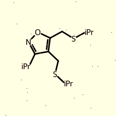 CC(C)SCc1onc(C(C)C)c1CSC(C)C